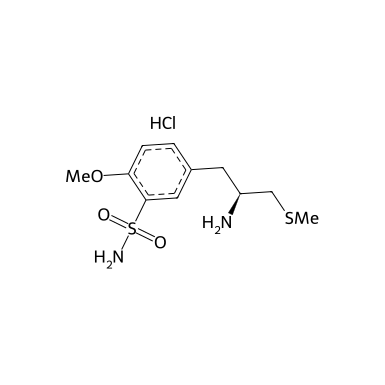 COc1ccc(C[C@H](N)CSC)cc1S(N)(=O)=O.Cl